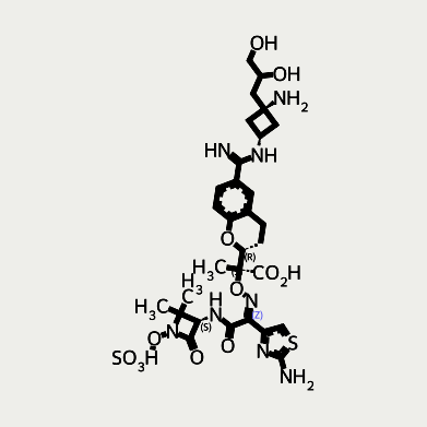 CC1(C)[C@H](NC(=O)/C(=N\O[C@](C)(C(=O)O)[C@H]2CCc3cc(C(=N)N[C@H]4C[C@@](N)(CC(O)CO)C4)ccc3O2)c2csc(N)n2)C(=O)N1OS(=O)(=O)O